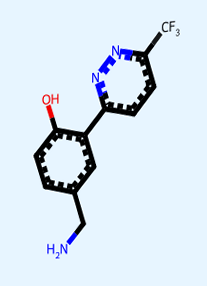 NCc1ccc(O)c(-c2ccc(C(F)(F)F)nn2)c1